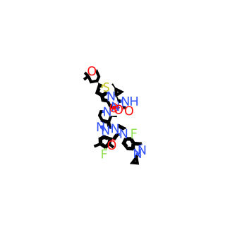 Cc1cc(-n2nc3c(c2N2C=CN(c4ccc5c(cnn5C5CC5)c4F)C2=C=O)[C@H](C)N(C(=O)c2cc4cc([C@H]5CCOC(C)(C)C5)sc4n2[C@@]2(c4noc(=O)[nH]4)C[C@@H]2C)CC3)cc(C)c1F